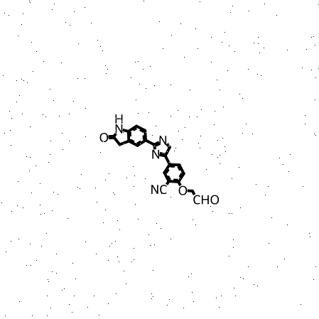 N#Cc1cc(C2=NC(c3ccc4c(c3)CC(=O)N4)=NC2)ccc1OCC=O